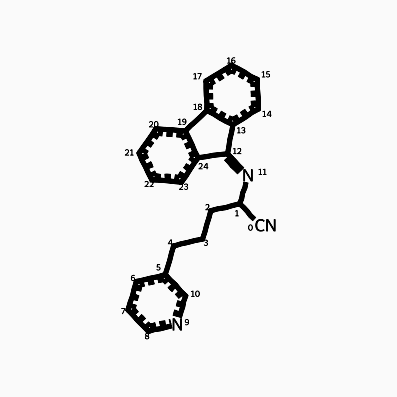 N#CC(CCCc1cccnc1)N=C1c2ccccc2-c2ccccc21